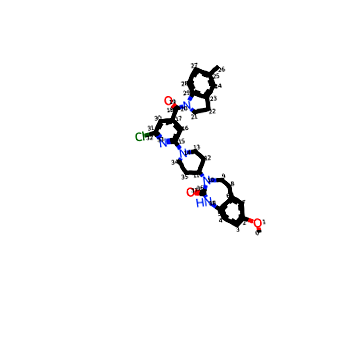 COc1ccc2c(c1)CCN(C1CCN(c3cc(C(=O)N4CCc5cc(C)ccc54)cc(Cl)n3)CC1)C(=O)N2